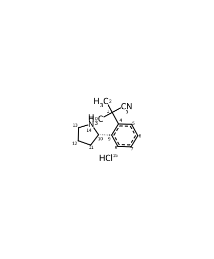 CC(C)(C#N)c1ccccc1[C@@H]1CCCN1.Cl